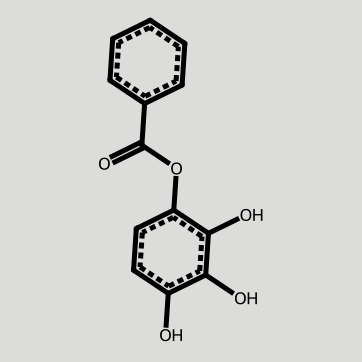 O=C(Oc1ccc(O)c(O)c1O)c1ccccc1